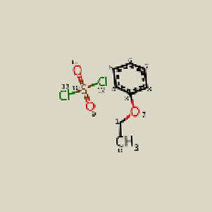 CCOc1ccccc1.O=S(=O)(Cl)Cl